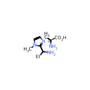 CCC(N)c1nccn1C.C[C@H](N)C(=O)O